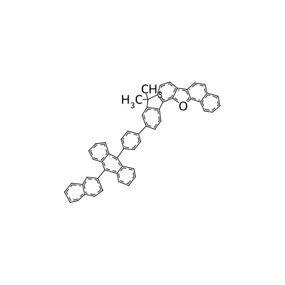 CC1(C)c2cc(-c3ccc(-c4c5ccccc5c(-c5ccc6ccccc6c5)c5ccccc45)cc3)ccc2-c2c1ccc1c2oc2c3ccccc3ccc12